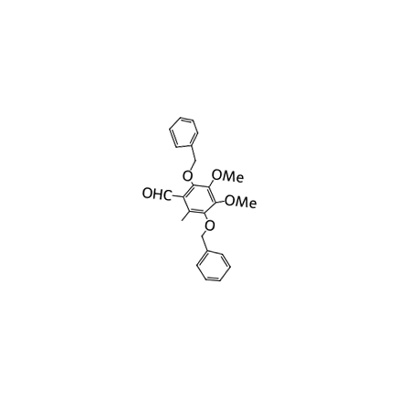 COc1c(OCc2ccccc2)c(C)c(C=O)c(OCc2ccccc2)c1OC